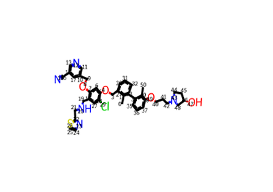 Cc1c(COc2cc(OCc3cncc(C#N)c3)c(CNCc3nccs3)cc2Cl)cccc1-c1cccc(OCCCN2CC[C@@H](O)C2)c1C